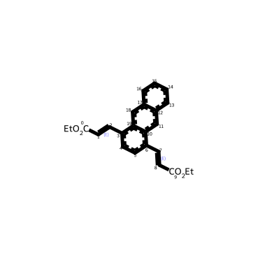 CCOC(=O)/C=C/c1ccc(/C=C/C(=O)OCC)c2cc3ccccc3cc12